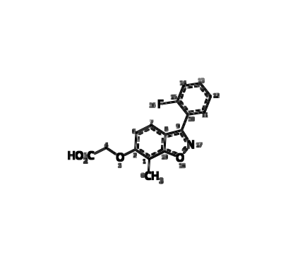 Cc1c(OCC(=O)O)ccc2c(-c3ccccc3F)noc12